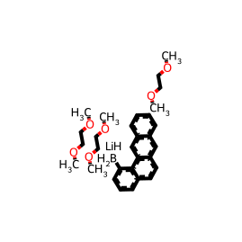 Bc1cccc2ccc3cc4ccccc4cc3c12.COCCOC.COCCOC.COCCOC.[LiH]